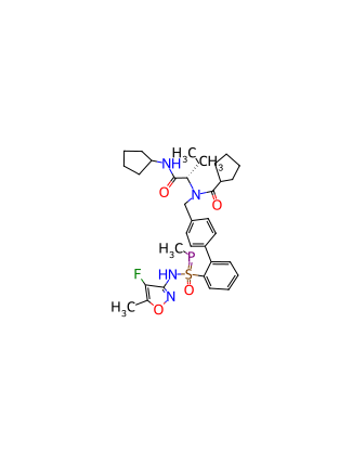 CP=S(=O)(Nc1noc(C)c1F)c1ccccc1-c1ccc(CN(C(=O)C2CCCC2)[C@H](C(=O)NC2CCCC2)C(C)C)cc1